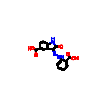 O=C1Nc2ccc(C(=O)O)cc2/C1=N/Nc1ccccc1C(=O)O